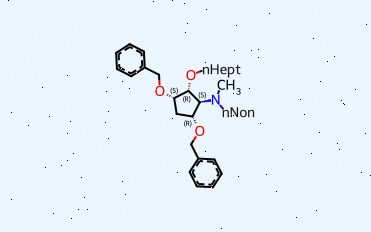 CCCCCCCCCN(C)[C@@H]1[C@@H](OCCCCCCC)[C@@H](OCc2ccccc2)C[C@H]1OCc1ccccc1